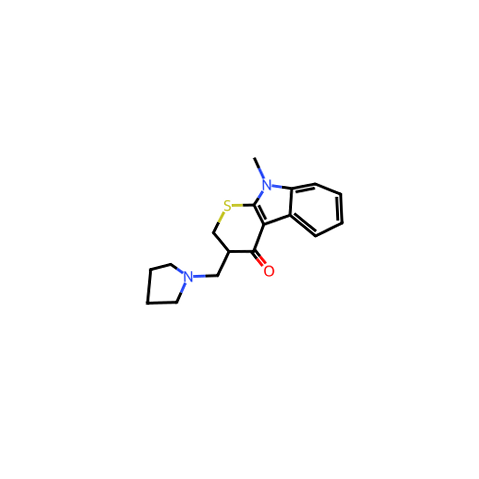 Cn1c2c(c3ccccc31)C(=O)C(CN1CCCC1)CS2